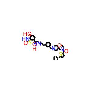 CC(C)C1=CCC(C(=O)N2CCOC3(CCN(Cc4cccc(CCNC[C@H](O)c5ccc(O)c6[nH]c(=O)sc56)c4)CC3)C2)S1